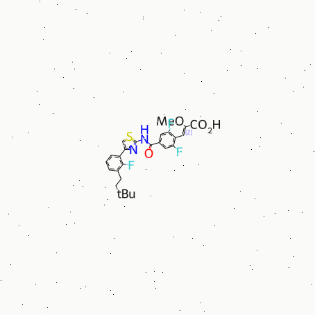 CO/C(=C\c1c(F)cc(C(=O)Nc2nc(-c3cccc(CCC(C)(C)C)c3F)cs2)cc1F)C(=O)O